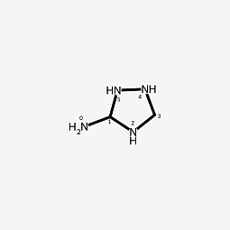 NC1NCNN1